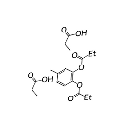 CCC(=O)O.CCC(=O)O.CCC(=O)Oc1ccc(C)cc1OC(=O)CC